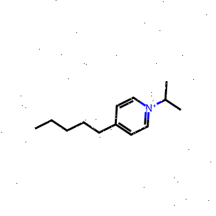 CCCCCc1cc[n+](C(C)C)cc1